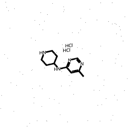 Cc1cc(NC2CCNCC2)ncn1.Cl.Cl